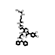 CC(C)(C)OC(=O)NCCCC(=S)Nc1ncc(C2=C(NC(=O)CC(=O)OC(c3ccccc3)c3ccccc3)N3C(=O)C(c4ccc(Cl)c(Cl)c4)C3SC2)s1